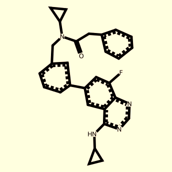 O=C(Cc1ccccc1)N(Cc1cccc(-c2cc(F)c3ncnc(NC4CC4)c3c2)c1)C1CC1